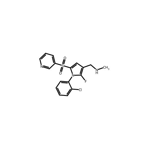 CNCc1cc(S(=O)(=O)c2cccnc2)n(-c2ccccc2Cl)c1F